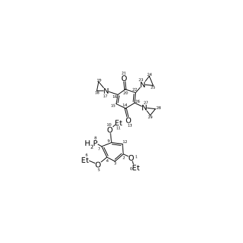 CCOc1cc(OCC)c(P)c(OCC)c1.O=C1C=C(N2CC2)C(=O)C(N2CC2)=C1N1CC1